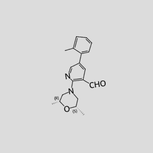 Cc1ccccc1-c1cnc(N2C[C@@H](C)O[C@@H](C)C2)c(C=O)c1